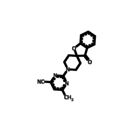 Cc1cc(C#N)nc(N2CCC3(CC2)Oc2ccccc2C3=O)n1